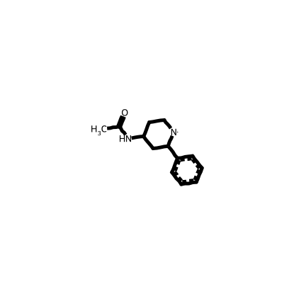 CC(=O)NC1CC[N]C(c2ccccc2)C1